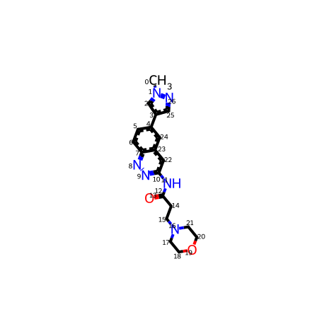 Cn1cc(-c2ccc3nnc(NC(=O)CCN4CCOCC4)cc3c2)cn1